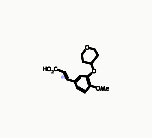 COc1ccc(/C=C/C(=O)O)cc1OC1CCOCC1